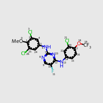 COc1c(Cl)cc(Nc2ncc(F)c(Nc3ccc(OC(F)(F)F)c(Cl)c3)n2)cc1Cl